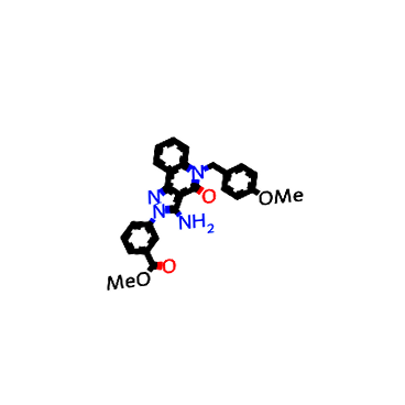 COC(=O)c1cccc(-n2nc3c(c2N)c(=O)n(Cc2ccc(OC)cc2)c2ccccc32)c1